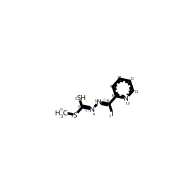 CS/C(S)=N/N=C(\I)c1ccccn1